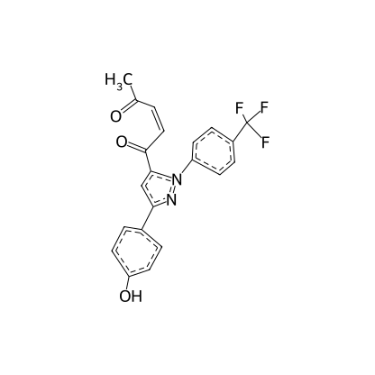 CC(=O)/C=C\C(=O)c1cc(-c2ccc(O)cc2)nn1-c1ccc(C(F)(F)F)cc1